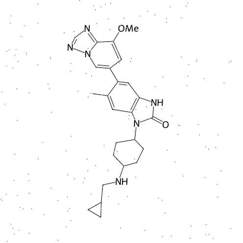 COc1cc(-c2cc3[nH]c(=O)n(C4CCC(NCC5CC5)CC4)c3cc2C)cn2ncnc12